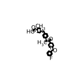 C[C@H]1CN(Cc2ccc(N(C)C(=O)C3CCN(C(=O)c4cccc(F)c4)CC3)cc2)CCN1C(=O)O